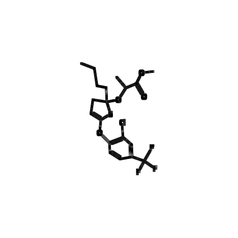 CCCCC1(OC(C)C(=O)OC)CC=C(Oc2ccc(C(F)(F)F)cc2Cl)S1